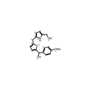 COc1ccc(C(O)c2ccc(Cc3ccc(CO)[nH]3)s2)cc1